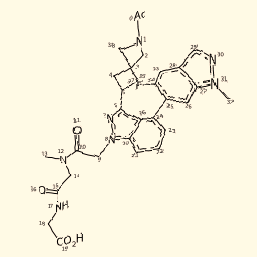 CC(=O)N1CC2(CC(c3nn(CC(=O)N(C)CC(=O)NCC(=O)O)c4cccc(-c5cc6c(cnn6C)cc5F)c34)C2)C1